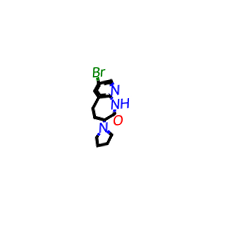 O=C1Nc2ncc(Br)cc2CCC1N1CCCC1